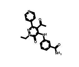 CCn1nc(-c2ccncc2)c(C(C)=O)c(Nc2cccc(C(N)=O)c2)c1=O